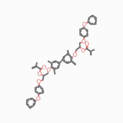 C=C(C)C(=O)OC(COc1ccc(Oc2ccccc2)cc1)COc1c(C)cc(-c2cc(C)c(OCC(COc3ccc(Oc4ccccc4)cc3)OC(=O)C(=C)C)c(C)c2)cc1C